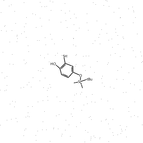 CC(C)(C)[Si](C)(C)Oc1ccc(O)c(S)c1